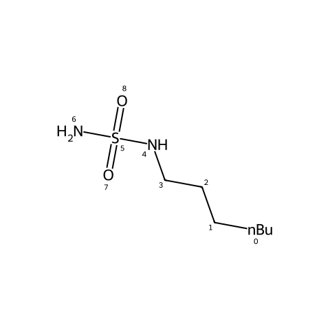 CCCCCCCNS(N)(=O)=O